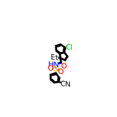 CCC1(C(=O)NS(=O)(=O)c2cccc(C#N)c2)CCc2c(Cl)cccc21